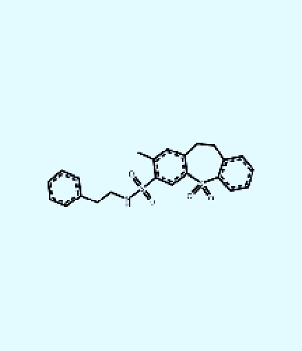 Cc1cc2c(cc1S(=O)(=O)NCCc1ccccc1)S(=O)(=O)c1ccccc1CC2